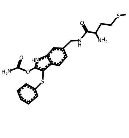 CSCCC(N)C(=O)NCc1ccc2c(Sc3ccccc3)c(OC(N)=O)[nH]c2c1